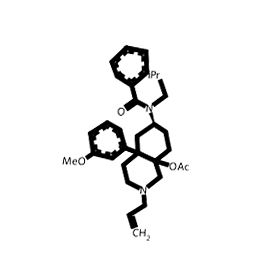 C=CCN1CCC2(c3cccc(OC)c3)C[C@@H](N(CC(C)C)C(=O)c3ccccc3)CCC2(OC(C)=O)C1